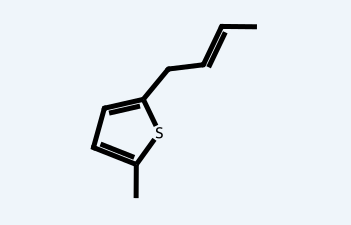 C/C=C/Cc1ccc(C)s1